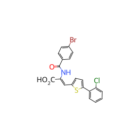 O=C(O)C(=Cc1ccc(-c2ccccc2Cl)s1)NC(=O)c1ccc(Br)cc1